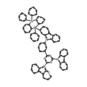 c1ccc([Si]2(c3ccccc3)c3ccccc3[Si](c3ccccc3)(c3ccc4c5ccccc5n(-c5cccc(-c6nc(-n7c8ccccc8c8ccccc87)nc(-n7c8ccccc8c8ccccc87)n6)c5)c4c3)c3ccccc32)cc1